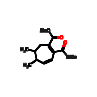 COC(=O)C1=C(C(=O)OC)CC(C)C(C)C=C1